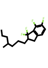 CCCC(C)CCCC1Cc2ccc(F)c(F)c2C1(F)F